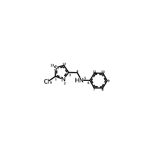 Clc1nc(CNc2ccccc2)cs1